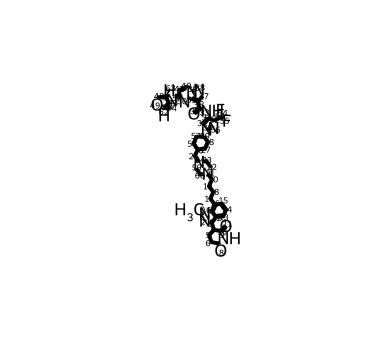 Cn1nc(C2CCC(=O)NC2=O)c2cccc(CCCCN3CCN(CC4CCC(n5cc(NC(=O)c6cnn7ccc(N8C[C@H]9C[C@@H]8CO9)nc67)c(C(F)F)n5)CC4)CC3)c21